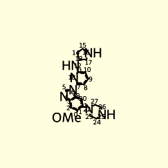 COc1cc2ncn(-c3cccc(NC4CCNC4)n3)c2cc1N1CCNCC1